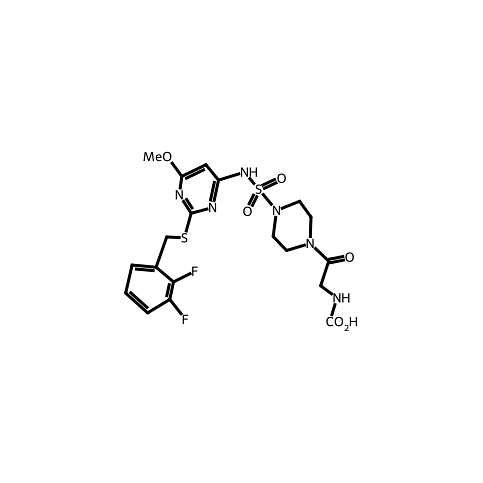 COc1cc(NS(=O)(=O)N2CCN(C(=O)CNC(=O)O)CC2)nc(SCc2cccc(F)c2F)n1